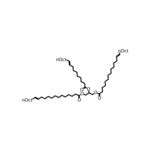 CCCCCCCCC=CCCCCCCCCCCCC(=O)OCC(COC(=O)CCCCCCCCCCCC=CCCCCCCCC)OC(=O)CCCCCCCC=CCCCCCCCC